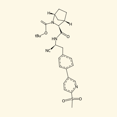 C=C(OC(C)(C)C)N1[C@@H]2CC[C@@H](C2)[C@H]1C(=O)N[C@H](C#N)Cc1ccc(-c2ccc(S(C)(=O)=O)nc2)cc1